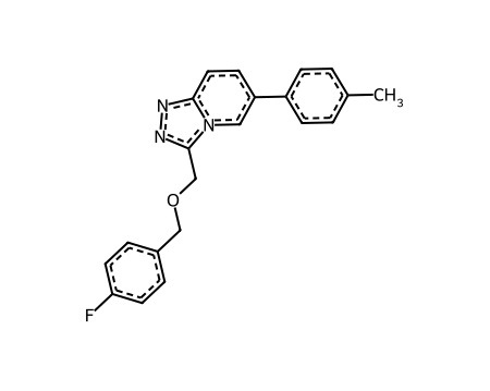 Cc1ccc(-c2ccc3nnc(COCc4ccc(F)cc4)n3c2)cc1